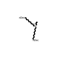 C=CC[SiH](CCCCCCCCCCCCCCCCCC)CCCCCCCCCCCCCCCCCC